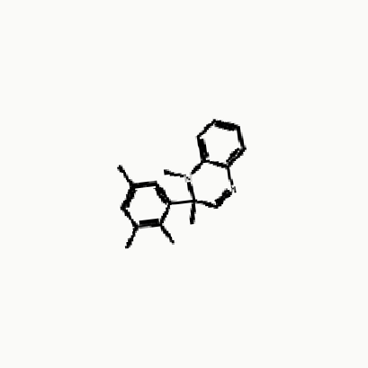 Cc1cc(C)c(C)c(C2(C)C=Nc3ccccc3N2C)c1